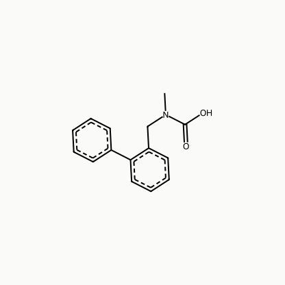 CN(Cc1ccccc1-c1ccccc1)C(=O)O